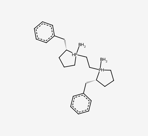 B[PH]1(CC[PH]2(B)CCC[C@@H]2Cc2ccccc2)CCC[C@@H]1Cc1ccccc1